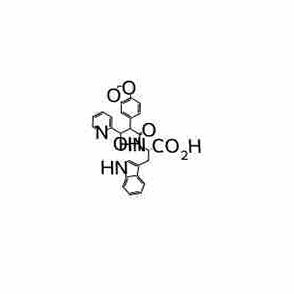 O=C(N[C@@H](Cc1c[nH]c2ccccc12)C(=O)O)C(c1ccc2c(c1)OCO2)C(O)c1ccccn1